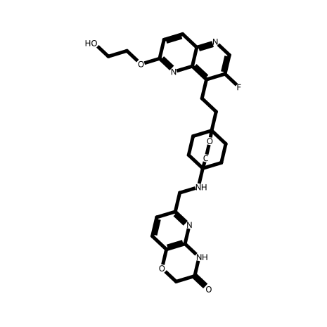 O=C1COc2ccc(CNC34CCC(CCc5c(F)cnc6ccc(OCCO)nc56)(CC3)OC4)nc2N1